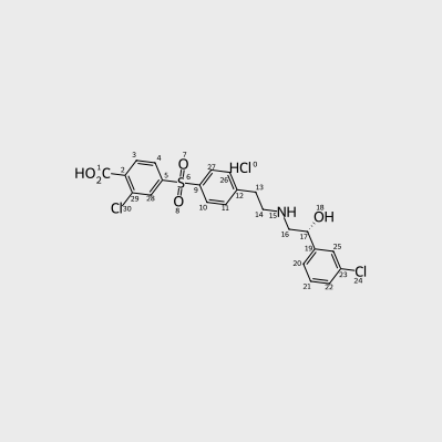 Cl.O=C(O)c1ccc(S(=O)(=O)c2ccc(CCNC[C@H](O)c3cccc(Cl)c3)cc2)cc1Cl